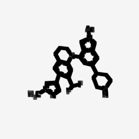 CC(=O)n1cc2cc(C3CCNCC3)cc(N3CCCc4cc(-c5cnn(C)c5)c(C(F)F)cc43)c2c1